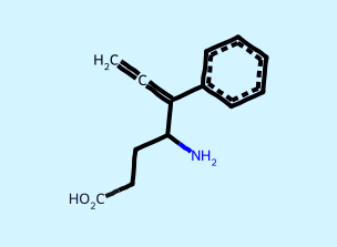 C=C=C(c1ccccc1)C(N)CCC(=O)O